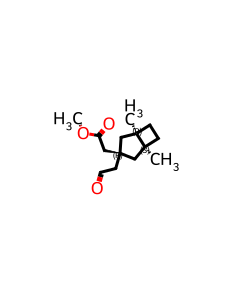 COC(=O)C[C@]1(CC=O)C[C@]2(C)CC[C@]2(C)C1